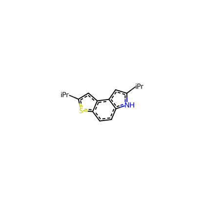 CC(C)c1cc2c(ccc3sc(C(C)C)cc32)[nH]1